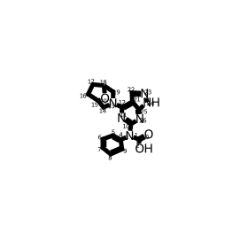 O=C(O)N(c1ccccc1)c1nc(N2CC3CCC(C2)O3)c2cn[nH]c2n1